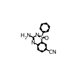 N#Cc1ccc2c(c1)S(=O)(c1ccccc1)=NC(N)=N2